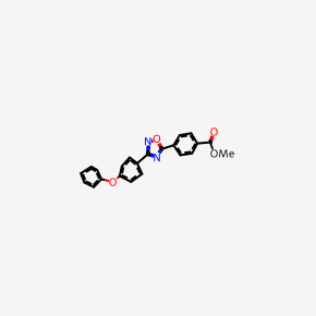 COC(=O)c1ccc(-c2nc(-c3ccc(Oc4ccccc4)cc3)no2)cc1